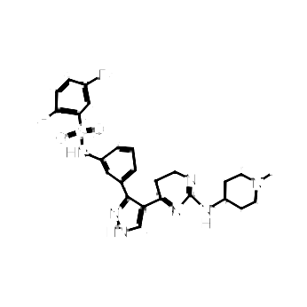 CN1CCC(NC2=NCCC(c3c[nH]nc3-c3cccc(NS(=O)(=O)c4cc(F)ccc4F)c3)=N2)CC1